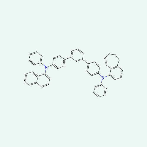 C1=Cc2c(cccc2N(c2ccccc2)c2ccc(-c3cccc(-c4ccc(N(c5ccccc5)c5cccc6ccccc56)cc4)c3)cc2)CCC1